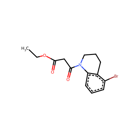 CCOC(=O)CC(=O)N1CCCc2c(Br)cccc21